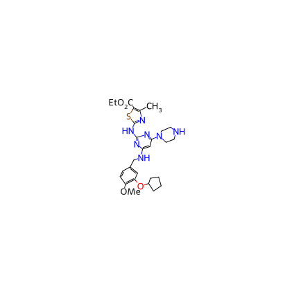 CCOC(=O)c1sc(Nc2nc(NCc3ccc(OC)c(OC4CCCC4)c3)cc(N3CCNCC3)n2)nc1C